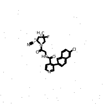 CC1(F)C[C@@H](C#N)N(C(=O)CNC(=O)c2ccncc2-c2ccc3cc(Cl)ccc3c2)C1